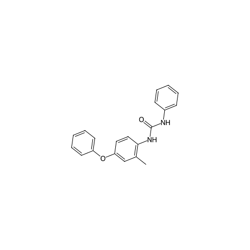 Cc1cc(Oc2ccccc2)ccc1NC(=O)Nc1ccccc1